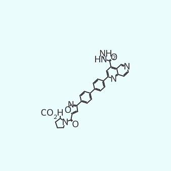 NNC(=O)c1cc(-c2ccc(-c3ccc(-c4cc(C(=O)N5CCCC5C(=O)O)on4)cc3)cc2)nc2ccncc12